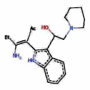 CCC(N)=C(C(C)=O)c1[nH]c2ccccc2c1C(O)CN1CCCCC1